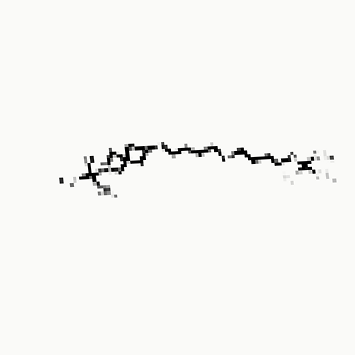 CC(C)(C)OCCCCOCCCCOC1CC2(C1)CN(C(C)(C)C)C2